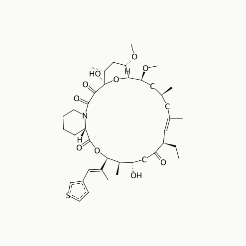 CC[C@@H]1/C=C(\C)C[C@H](C)C[C@H](OC)[C@H]2O[C@@](O)(C(=O)C(=O)N3CCCC[C@H]3C(=O)O[C@H](/C(C)=C/c3ccsc3)[C@H](C)[C@@H](O)CC1=O)[C@H](C)C[C@@H]2OC